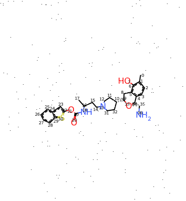 Cc1ccc2c(c1O)C[C@@H](C1CCN(CCC(C)NC(=O)Oc3cc4ccccc4s3)CC1)O[C@H]2CN